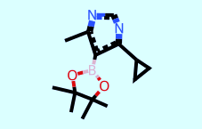 Cc1ncnc(C2CC2)c1B1OC(C)(C)C(C)(C)O1